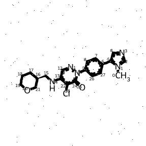 Cn1cncc1-c1ccc(-n2ncc(NC[C@@H]3CCCOC3)c(Cl)c2=O)cc1